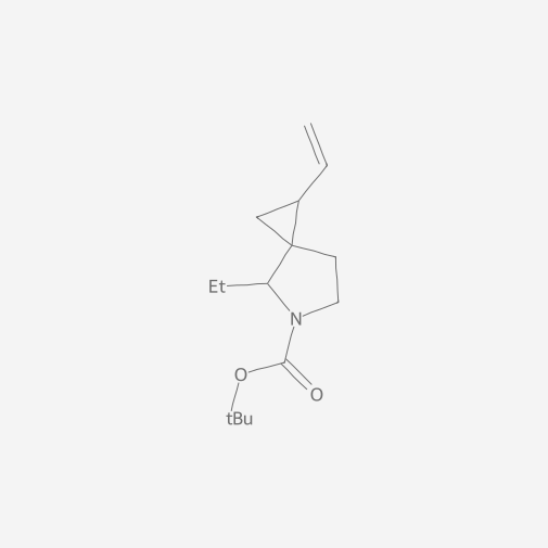 C=CC1CC12CCN(C(=O)OC(C)(C)C)C2CC